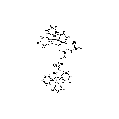 CCN(CC)CCN(CCNC(=O)CSC(c1ccccc1)(c1ccccc1)c1ccccc1)CCSC(c1ccccc1)(c1ccccc1)c1ccccc1